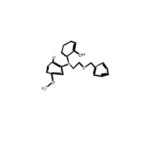 COc1ccc(Cl)c(N(CCOCc2ccccc2)C2CCC[C]=C2O)c1